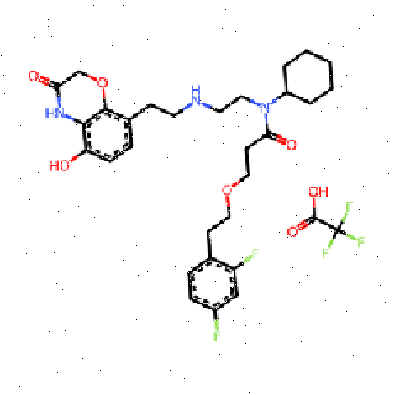 O=C(O)C(F)(F)F.O=C1COc2c(CCNCCN(C(=O)CCOCCc3ccc(F)cc3F)C3CCCCC3)ccc(O)c2N1